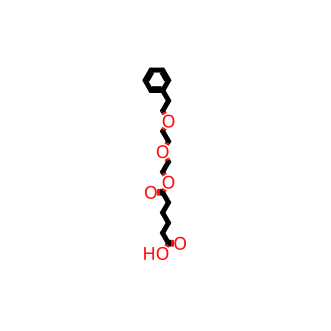 O=C(O)CCCCC(=O)OCCOCCOCCc1ccccc1